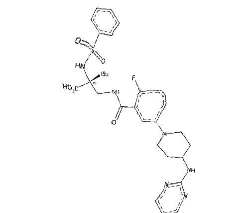 CC(C)(C)[C@](CNC(=O)c1cc(N2CCC(Nc3ncccn3)CC2)ccc1F)(NS(=O)(=O)c1ccccc1)C(=O)O